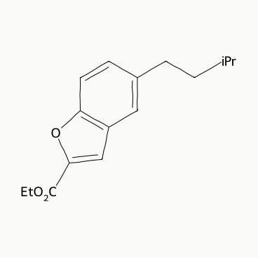 CCOC(=O)c1cc2cc(CCC(C)C)ccc2o1